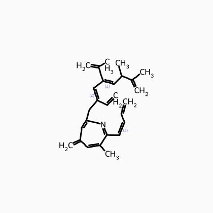 C=C/C=C\C1=NC(C/C(C=C)=C/C(=C/C(C)C(=C)C)C(=C)C)=CC(=C)C=C1C